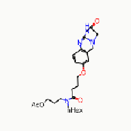 CCCCCCN(CCCOC(C)=O)C(=O)CCCOc1ccc2c(c1)CN1CC(=O)NC1=N2